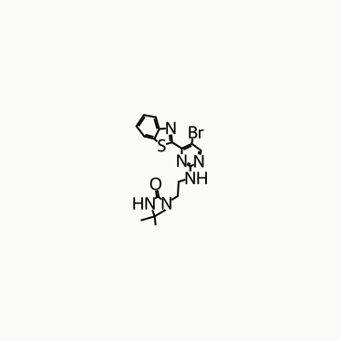 CC1(C)CN(CCNc2ncc(Br)c(-c3nc4ccccc4s3)n2)C(=O)N1